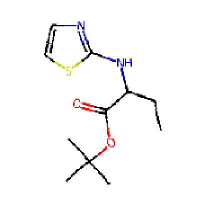 CCC(Nc1nccs1)C(=O)OC(C)(C)C